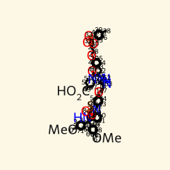 COc1ccc(C(NS(=O)(=O)c2nc3ccc(OCc4cn(C(Cc5ccc(OCCOS(=O)(=O)c6ccc(C)cc6)cc5)C(=O)N5CCC(C(=O)O)CC5)nn4)cc3s2)(c2ccccc2)c2ccc(OC)cc2)cc1